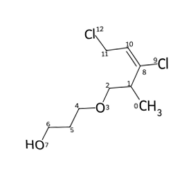 CC(COCCCO)/C(Cl)=C\CCl